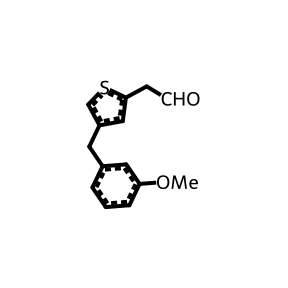 COc1cccc(Cc2csc(CC=O)c2)c1